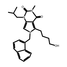 CC(C)Cn1c(=O)n(C)c(=O)c2c(CCCCO)n(Cc3cccc4ccccc34)cc21